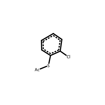 CC(=O)Sc1ccccc1Cl